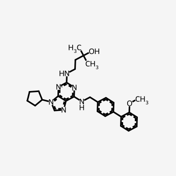 COc1ccccc1-c1ccc(CNc2nc(NCCC(C)(C)O)nc3c2ncn3C2CCCC2)cc1